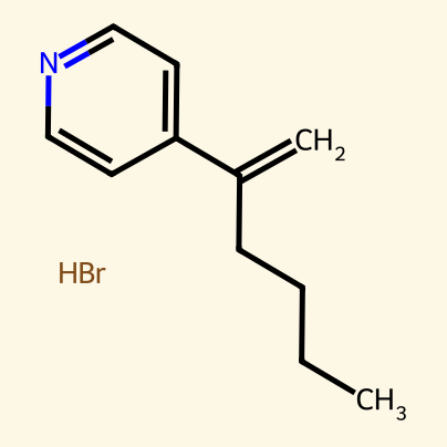 Br.C=C(CCCC)c1ccncc1